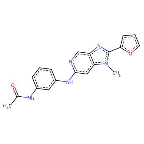 CC(=O)Nc1cccc(Nc2cc3c(cn2)nc(-c2ccco2)n3C)c1